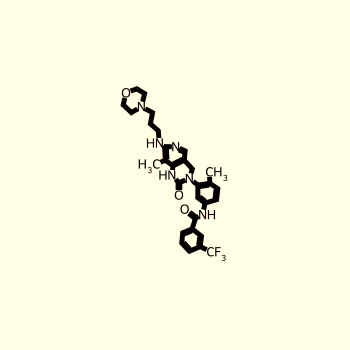 Cc1ccc(NC(=O)c2cccc(C(F)(F)F)c2)cc1N1Cc2cnc(NCCCN3CCOCC3)c(C)c2NC1=O